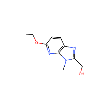 CCOc1ccc2nc(CO)n(C)c2n1